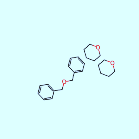 C1CCOCC1.C1CCOCC1.c1ccc(COCc2ccccc2)cc1